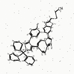 N#CCCCc1nc2ccc(-c3cnc4ccc(-c5cn(C(c6ccccc6)(c6ccccc6)c6ccccc6)nc5-c5ccc(F)cc5)cn34)cc2s1